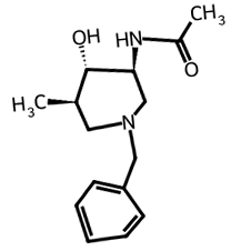 CC(=O)N[C@H]1CN(Cc2ccccc2)C[C@@H](C)[C@@H]1O